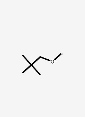 [CH]OCC(C)(C)C